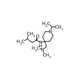 CC(C)CC(=O)NC1(CN(C)C)CCN(C(C)C)CC1